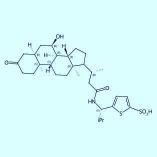 CC(C)[C@H](NC(=O)C[C@@H](C)C1CC[C@H]2[C@@H]3[C@H](O)C[C@@H]4CC(=O)CC[C@]4(C)[C@H]3CC[C@]12C)c1ccc(S(=O)(=O)O)s1